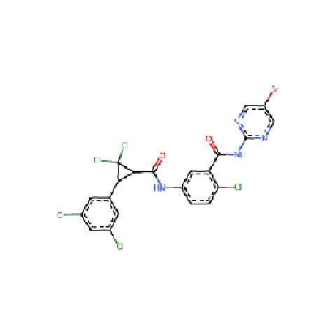 O=C(Nc1ncc(Br)cn1)c1cc(NC(=O)C2C(c3cc(Cl)cc(Cl)c3)C2(Cl)Cl)ccc1Cl